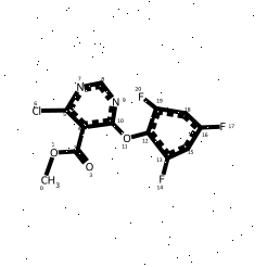 COC(=O)c1c(Cl)ncnc1Oc1c(F)cc(F)cc1F